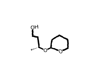 C[C@H](CCO)OC1CCCCO1